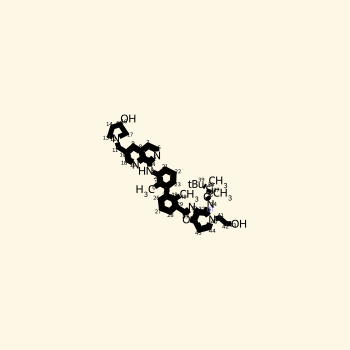 Cc1c(Nc2nccc3cc(CN4CC[C@@H](O)C4)cnc23)cccc1-c1cccc(-c2nc3/c(=N\O[Si](C)(C)C(C)(C)C)n(CCO)ccc3o2)c1C